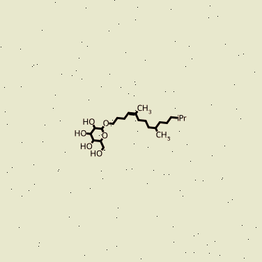 CC(=CCCCOC1OC(CO)C(O)C(O)C1O)CCCC(C)CCCC(C)C